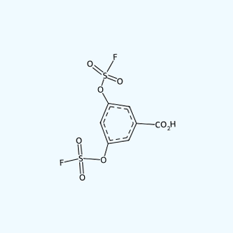 O=C(O)c1cc(OS(=O)(=O)F)cc(OS(=O)(=O)F)c1